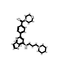 O=C(c1ccc(-c2cc(NCCCN3CCCCC3)c3sccc3n2)cc1)N1CCOCC1